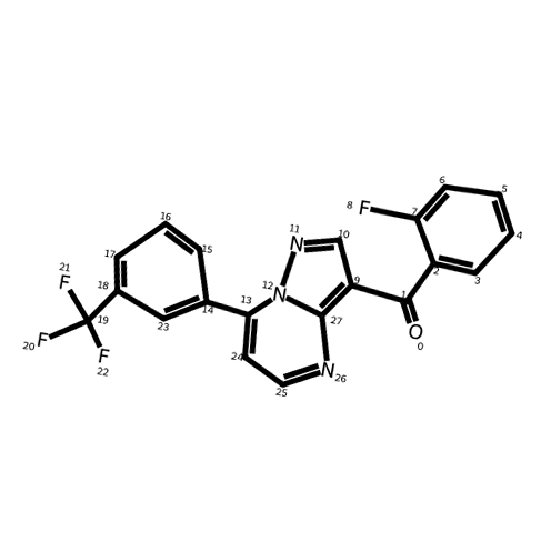 O=C(c1ccccc1F)c1cnn2c(-c3cccc(C(F)(F)F)c3)ccnc12